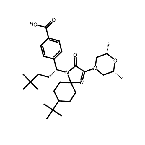 C[C@@H]1CN(C2=NC3(CCC(C(C)(C)C)CC3)N([C@H](CCC(C)(C)C)c3ccc(C(=O)O)cc3)C2=O)C[C@H](C)O1